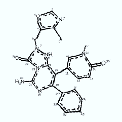 Cc1ncoc1Cn1[nH]c2c(-c3ccc(=O)n(C)c3)c(-c3ccccc3)nc(N)[n+]2c1=O